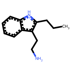 CCCc1[nH]c2ccccc2c1CCN